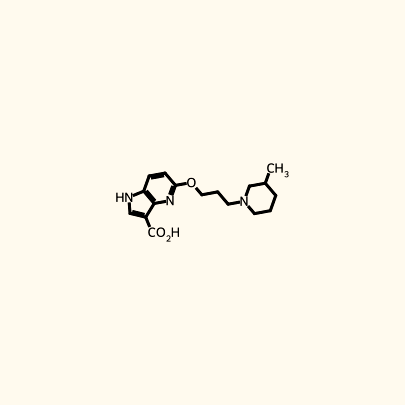 CC1CCCN(CCCOc2ccc3[nH]cc(C(=O)O)c3n2)C1